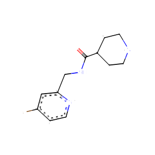 O=C(NCc1cc(Br)ccn1)C1CCNCC1